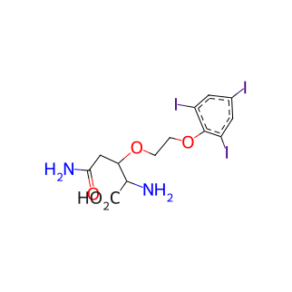 NC(=O)CC(OCCOc1c(I)cc(I)cc1I)C(N)C(=O)O